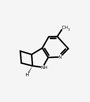 Cc1cnc2c(c1)C1CC[C@@H]1N2